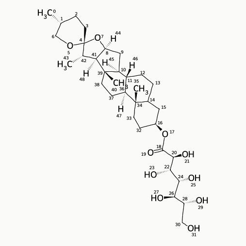 C[C@@H]1CC[C@@]2(OC1)O[C@H]1C[C@H]3[C@@H]4CCC5C[C@@H](OC(=O)[C@@H](O)[C@@H](O)[C@H](O)[C@H](O)[C@H](O)CO)CC[C@]5(C)[C@H]4CC[C@]3(C)[C@H]1[C@@H]2C